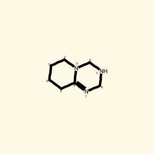 C1CCN2CNCN=C2C1